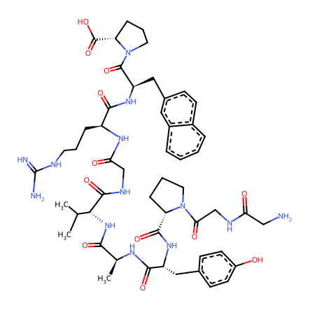 CC(C)[C@@H](NC(=O)[C@H](C)NC(=O)[C@@H](Cc1ccc(O)cc1)NC(=O)[C@@H]1CCCN1C(=O)CNC(=O)CN)C(=O)NCC(=O)N[C@@H](CCCNC(=N)N)C(=O)N[C@H](Cc1ccc2ccccc2c1)C(=O)N1CCC[C@H]1C(=O)O